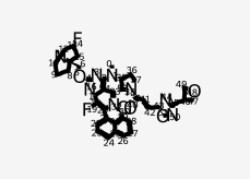 CN(c1nc(OC[C@@]23CCCN2C[C@H](F)C3)nc2c(F)c(-c3cccc4cccc(Cl)c34)ncc12)[C@@H]1CCN(C(=O)/C=C/c2nc(C3COC3)no2)C1